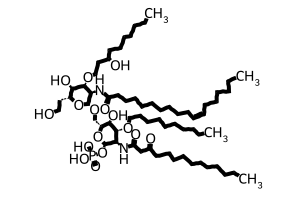 CCCCCC/C=C\CCCCCCCCCC(=O)N[C@H]1[C@H](OC[C@H]2O[C@H](OP(=O)(O)O)[C@H](NC(=O)CC(=O)CCCCCCCCCCC)[C@@H](OCCCCCCCCCC)[C@@H]2O)O[C@H](CCO)[C@@H](O)[C@@H]1OCCC(O)CCCCCCC